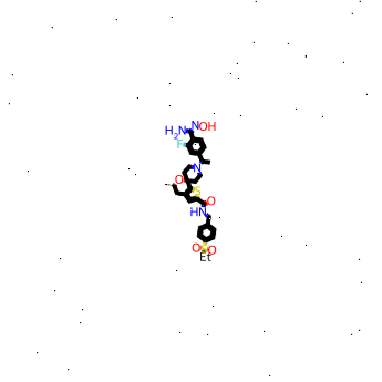 CCS(=O)(=O)c1ccc(CNC(=O)c2cc3c(s2)C2(CCN(C(C)c4ccc(/C(N)=N\O)c(F)c4)CC2)O[C@@H](C)C3)cc1